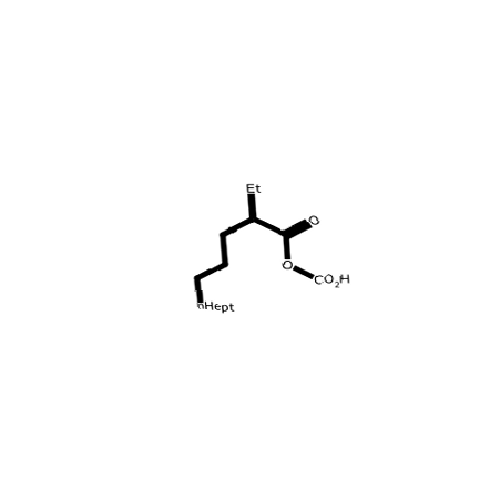 CCCCCCCCCCC(CC)C(=O)OC(=O)O